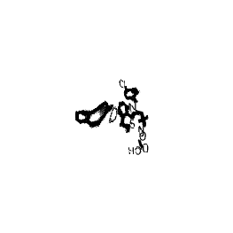 CC1Cc2c(OCc3ccc4ccccc4c3)ccc3c2c(c(CC(C)(C)C=NOCC(=O)O)n3Cc2ccc(Cl)cc2)S1